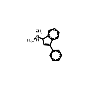 C[SiH](C)C1C=C(c2ccccc2)c2ccccc21